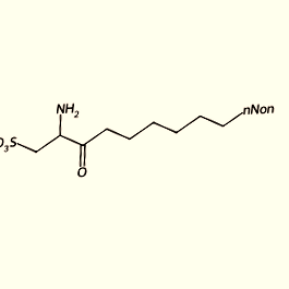 CCCCCCCCCCCCCCCC(=O)C(N)CS(=O)(=O)O